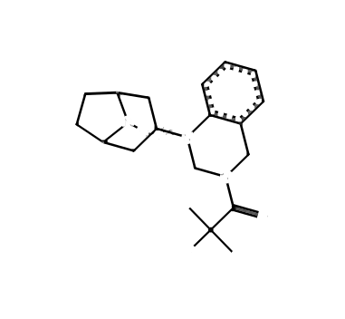 CCOC(=O)N1C2CCC1CC(N1CN(C(=O)C(C)(C)O)Cc3ccccc31)C2